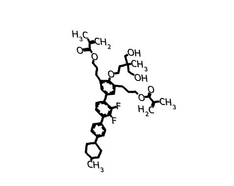 C=C(C)C(=O)OCCCc1cc(-c2ccc(-c3ccc(C4CCC(C)CC4)cc3)c(F)c2F)cc(CCCOC(=O)C(=C)C)c1OCCC(C)(CO)CO